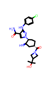 CC(C)(O)C1CN(C(=O)[C@H]2CC[C@H](n3cc(C(N)=O)c(Nc4ccc(Cl)cc4)n3)C(=N)C2)C1